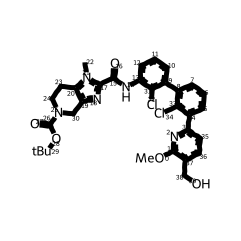 COc1nc(-c2cccc(-c3cccc(NC(=O)c4nc5c(n4C)CCN(C(=O)OC(C)(C)C)C5)c3Cl)c2Cl)ccc1CO